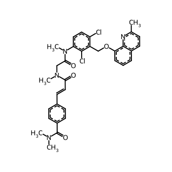 Cc1ccc2cccc(OCc3c(Cl)ccc(N(C)C(=O)CN(C)C(=O)/C=C/c4ccc(C(=O)N(C)C)cc4)c3Cl)c2n1